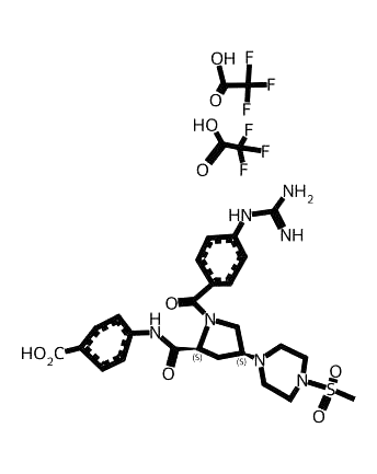 CS(=O)(=O)N1CCN([C@H]2C[C@@H](C(=O)Nc3ccc(C(=O)O)cc3)N(C(=O)c3ccc(NC(=N)N)cc3)C2)CC1.O=C(O)C(F)(F)F.O=C(O)C(F)(F)F